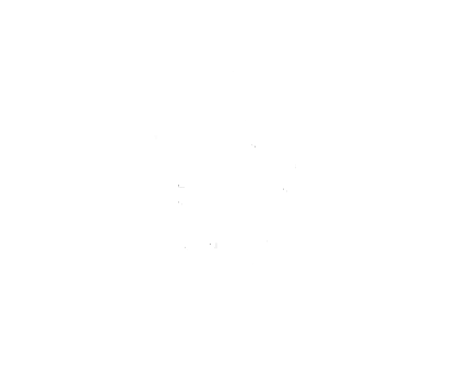 COCCn1c(C(=O)N2CCN(C(=O)[C@@H](NC(=O)[C@H](C)N(C)C(=O)OC(C)(C)C)C3CCCCC3)CC2)cc2cc(F)ccc21